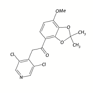 COc1ccc(C(=O)Cc2c(Cl)cncc2Cl)c2c1OC(C)(C)O2